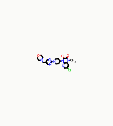 Cn1c(=O)c(=O)n(C2CCN(c3ncc(CN4CCOCC4)cn3)CC2)c2ncc(Cl)cc21